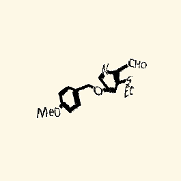 CCSc1cc(OCc2ccc(OC)cc2)cnc1C=O